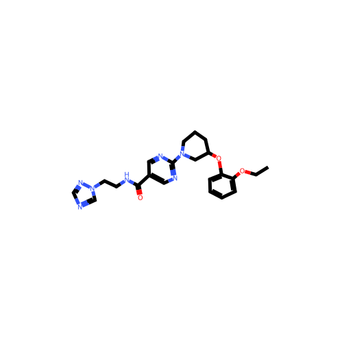 CCOc1ccccc1OC1CCCN(c2ncc(C(=O)NCCn3cncn3)cn2)C1